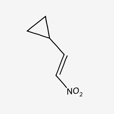 O=[N+]([O-])C=CC1CC1